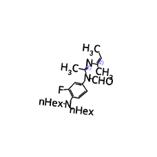 C/C=C(C)\N=C(\C)N(C=O)c1ccc(N(CCCCCC)CCCCCC)c(F)c1